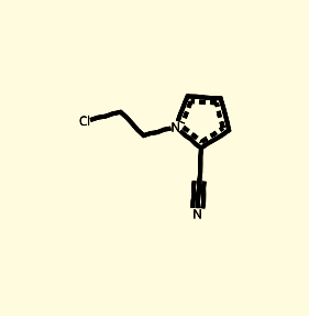 N#Cc1cccn1CCCl